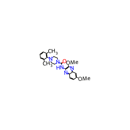 COc1ccc2nc(NC(=O)N3CCN(c4c(C)cccc4C)CC3)c(OC)nc2c1